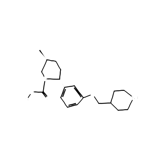 C[C@H]1CC[C@H](c2cccc(OCC3CCNCC3)c2)N(C(=O)OC(C)(C)C)C1